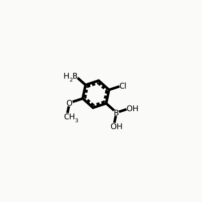 Bc1cc(Cl)c(B(O)O)cc1OC